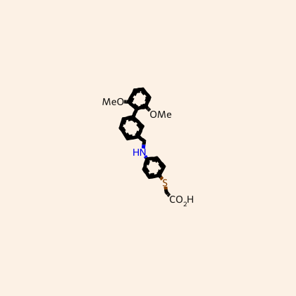 COc1cccc(OC)c1-c1cccc(CNc2ccc(SCC(=O)O)cc2)c1